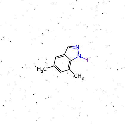 Cc1cc(C)c2c(cnn2I)c1